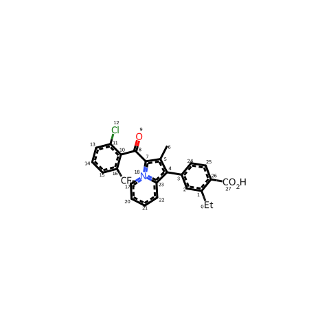 CCc1cc(-c2c(C)c(C(=O)c3c(Cl)cccc3C(F)(F)F)n3ccccc23)ccc1C(=O)O